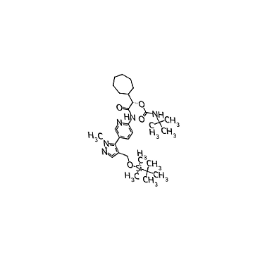 Cn1ncc(CO[Si](C)(C)C(C)(C)C)c1-c1ccc(NC(=O)[C@@H](OC(=O)NC(C)(C)C)C2CCCCCC2)nc1